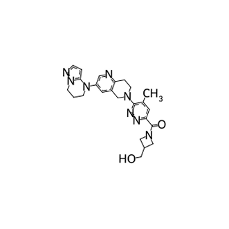 Cc1cc(C(=O)N2CC(CO)C2)nnc1N1CCc2ncc(N3CCCn4nccc43)cc2C1